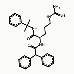 CC(C)(NC(=O)[C@@H](CCCNC(=N)N)NC(=O)C(c1ccccc1)c1ccccc1)c1ccccc1